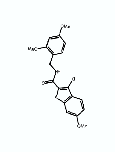 COc1ccc(CNC(=O)c2sc3cc(OC)ccc3c2Cl)c(OC)c1